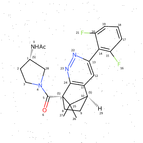 CC(=O)N[C@H]1CCN(C(=O)[C@]23CC[C@H](c4cc(-c5c(F)cccc5F)nnc42)C3(C)C)C1